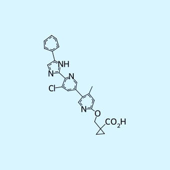 Cc1cc(OCC2(C(=O)O)CC2)ncc1-c1cnc(-c2ncc(-c3ccccc3)[nH]2)c(Cl)c1